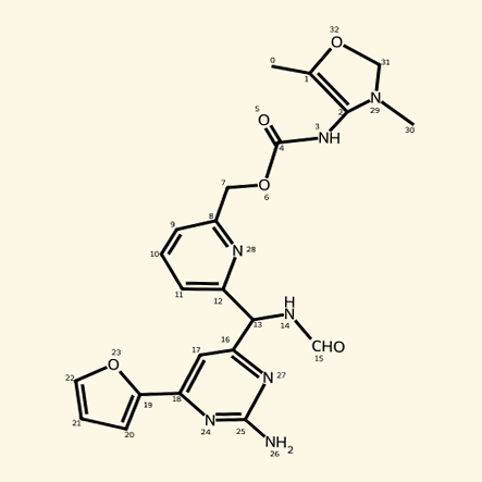 CC1=C(NC(=O)OCc2cccc(C(NC=O)c3cc(-c4ccco4)nc(N)n3)n2)N(C)CO1